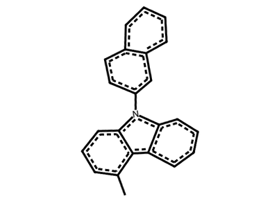 Cc1cccc2c1c1ccccc1n2-c1ccc2ccccc2c1